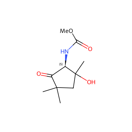 COC(=O)N[C@@H]1C(=O)C(C)(C)CC1(C)O